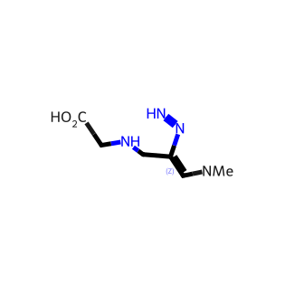 CN/C=C(/CNCC(=O)O)N=N